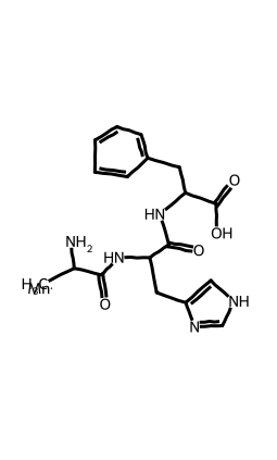 CC(N)C(=O)NC(Cc1c[nH]cn1)C(=O)NC(Cc1ccccc1)C(=O)O.[Mn]